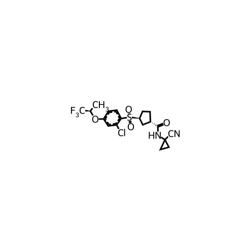 C[C@@H](Oc1ccc(S(=O)(=O)[C@H]2CC[C@H](C(=O)NC3(C#N)CC3)C2)c(Cl)c1)C(F)(F)F